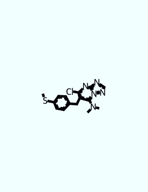 CSc1ccc(Cc2c(Cl)nc3ncnn3c2N(C)C)cc1